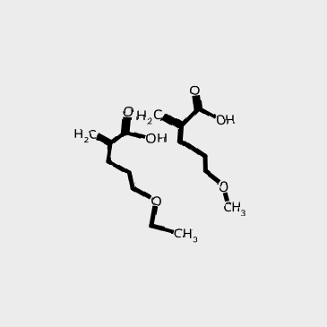 C=C(CCCOC)C(=O)O.C=C(CCCOCC)C(=O)O